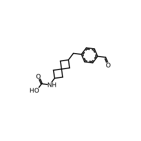 O=Cc1ccc(CC2CC3(C2)CC(NC(=O)O)C3)cc1